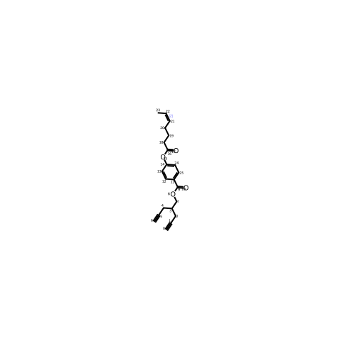 C#CCC(CC#C)COC(=O)c1ccc(OC(=O)CCC/C=C\C)cc1